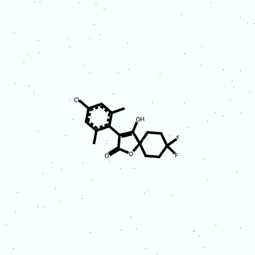 Cc1cc(Cl)cc(C)c1C1=C(O)C2(CCC(F)(F)CC2)OC1=O